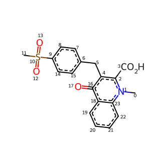 Cn1c(C(=O)O)c(Cc2ccc(S(C)(=O)=O)cc2)c(=O)c2ccccc21